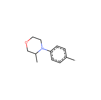 [CH2]c1ccc(N2CCOCC2C)cc1